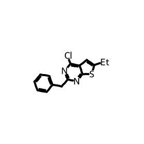 CCc1cc2c(Cl)nc(Cc3ccccc3)nc2s1